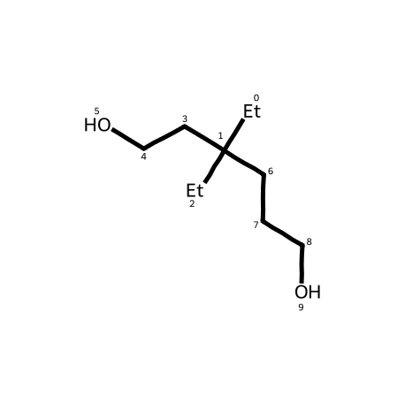 CCC(CC)(CCO)CCCO